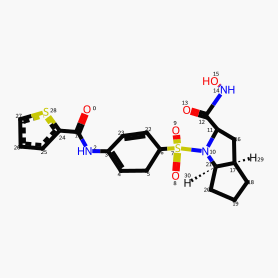 O=C(NC1=CCC(S(=O)(=O)N2C(C(=O)NO)C[C@H]3CCC[C@H]32)C=C1)c1cccs1